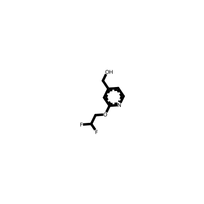 OCc1ccnc(OCC(F)F)c1